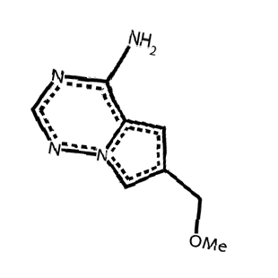 COCc1cc2c(N)ncnn2c1